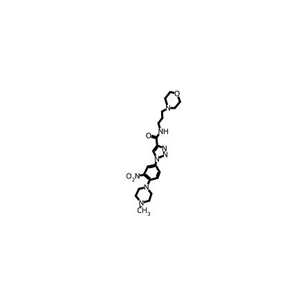 CN1CCN(c2ccc(-n3cc(C(=O)NCCCN4CCOCC4)nn3)cc2[N+](=O)[O-])CC1